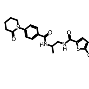 CC(CNC(=O)c1ccc(Cl)s1)NC(=O)c1ccc(N2CCCCC2=O)cc1